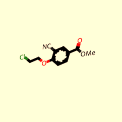 COC(=O)c1ccc(OCCCl)c(C#N)c1